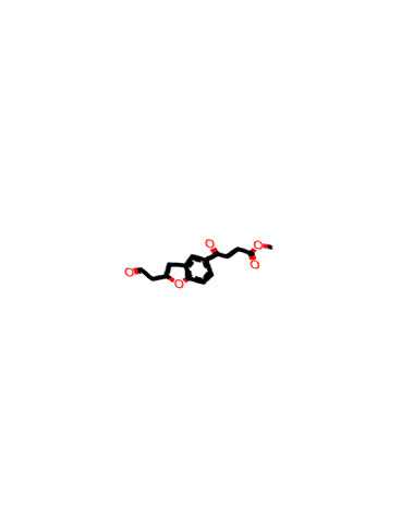 COC(=O)CCC(=O)c1ccc2c(c1)CC(CC=O)O2